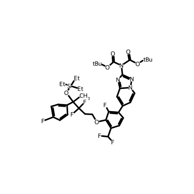 CC[Si](CC)(CC)OC(C)(c1ccc(F)cc1)C(F)(F)CCOc1c(C(F)F)ccc(-c2ccn3nc(N(C(=O)OC(C)(C)C)C(=O)OC(C)(C)C)nc3c2)c1F